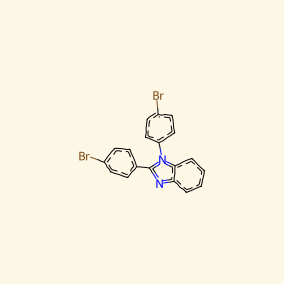 Brc1ccc(-c2nc3ccccc3n2-c2ccc(Br)cc2)cc1